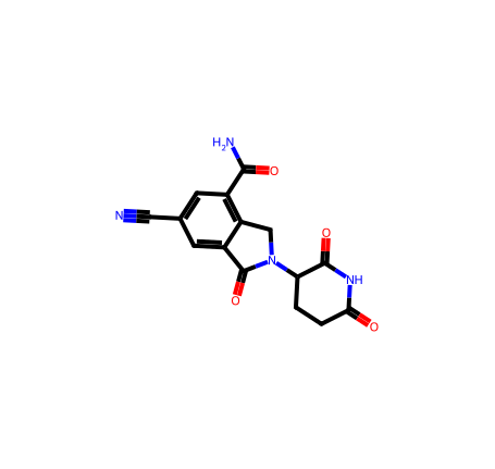 N#Cc1cc(C(N)=O)c2c(c1)C(=O)N(C1CCC(=O)NC1=O)C2